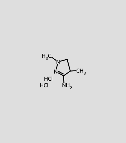 CC1CN(C)N=C1N.Cl.Cl